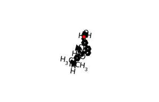 Cc1n[nH]c(C)c1-c1ccc(NC(=O)[C@@H](NC(=O)C2(C)CC2)[C@@H]2CCCc3ccc(-c4ccc(CN5C[C@H]6C[C@@H]5CO6)cc4)cc32)cc1